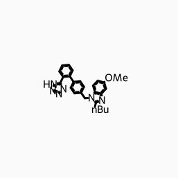 CCCCc1nc2cc(OC)ccc2n1Cc1ccc(-c2ccccc2-c2nnn[nH]2)cc1